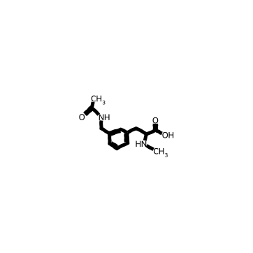 CNC(Cc1cccc(CNC(C)=O)c1)C(=O)O